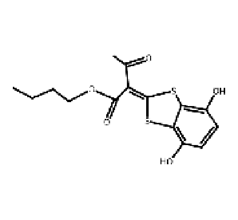 CCCCOC(=O)C(C(C)=O)=C1Sc2c(O)ccc(O)c2S1